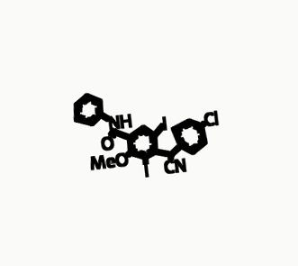 COc1c(C(=O)Nc2ccccc2)cc(I)c(C(C#N)c2ccc(Cl)cc2)c1I